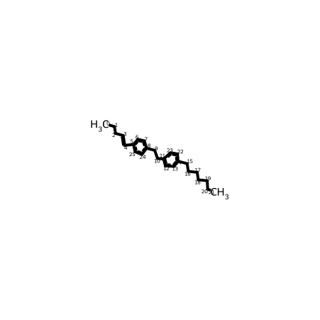 CCCC=Cc1ccc(CCc2ccc(CCCCCCC)cc2)cc1